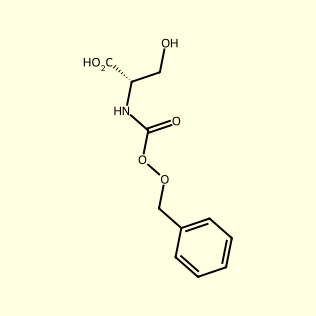 O=C(N[C@@H](CO)C(=O)O)OOCc1ccccc1